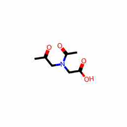 CC(=O)CN(CC(=O)O)C(C)=O